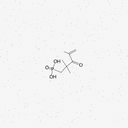 C=C(C)C(=O)C(C)(C)CP(=O)(O)O